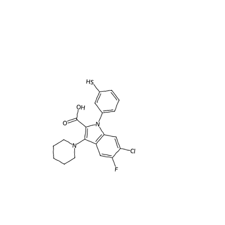 O=C(O)c1c(N2CCCCC2)c2cc(F)c(Cl)cc2n1-c1cccc(S)c1